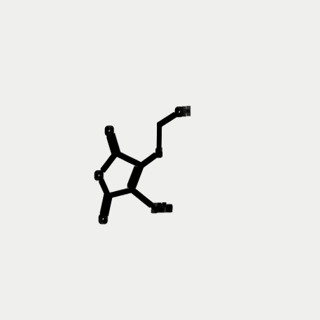 CSC1=C(SCO)C(=O)OC1=O